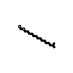 CC(C)CCCCCCCCCCCCCO[C]=O